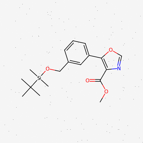 COC(=O)c1ncoc1-c1cccc(CO[Si](C)(C)C(C)(C)C)c1